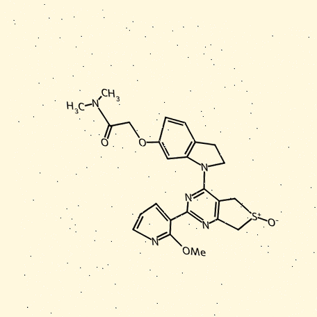 COc1ncccc1-c1nc2c(c(N3CCc4ccc(OCC(=O)N(C)C)cc43)n1)C[S+]([O-])C2